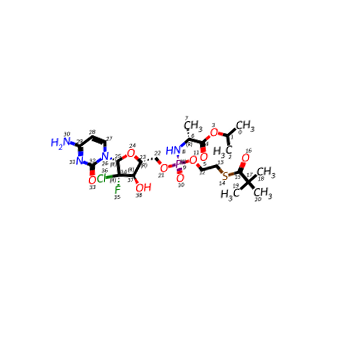 CC(C)OC(=O)[C@@H](C)N[P@@](=O)(OCCSC(=O)C(C)(C)C)OC[C@H]1O[C@@H](n2ccc(N)nc2=O)[C@](F)(Cl)[C@@H]1O